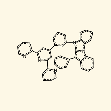 c1ccc(-c2c3ccccc3n3c4ccccc4n(-c4cccc(-c5cc(-c6ccccn6)nc(-c6ccccn6)c5)c4)c23)cc1